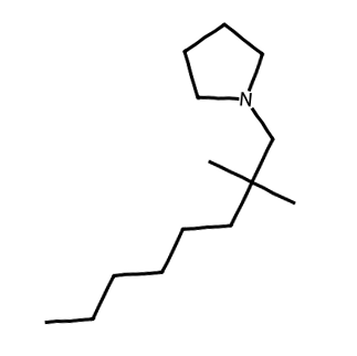 CCCCCCC(C)(C)CN1CCCC1